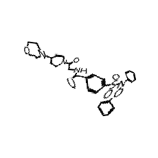 O=C(NCC(=O)N1CCC(N2CCOCC2)CC1)c1ccc(S(=O)(=O)N(Oc2ccccc2)c2ccccc2)cc1